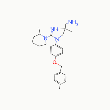 Cc1ccc(COc2ccc(N(CC(C)(C)CN)C(=N)N3CCCCC3C)cc2)cc1